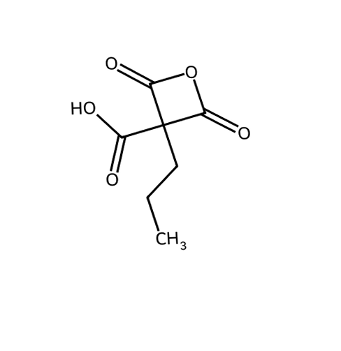 CCCC1(C(=O)O)C(=O)OC1=O